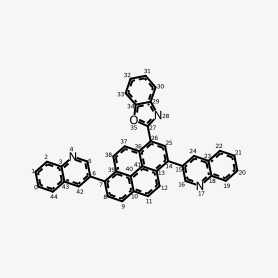 c1ccc2ncc(-c3ccc4ccc5c(-c6cnc7ccccc7c6)cc(-c6nc7ccccc7o6)c6ccc3c4c56)cc2c1